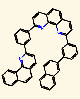 c1cc(-c2ccc3ccccc3c2)cc(-c2ccc3ccc4ccc(-c5cccc(-c6ccc7ccc8ccccc8c7n6)c5)nc4c3n2)c1